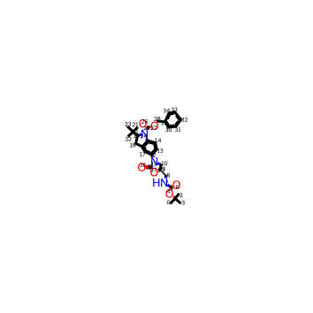 CC(C)(C)OC(=O)NC[C@@H]1CN(c2ccc3c(c2)CC(C(C)(C)C)N3C(=O)OCc2ccccc2)C(=O)O1